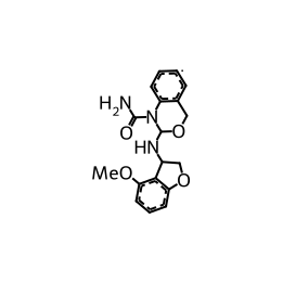 COc1cccc2c1C(NC1OCc3c[c]ccc3N1C(N)=O)CO2